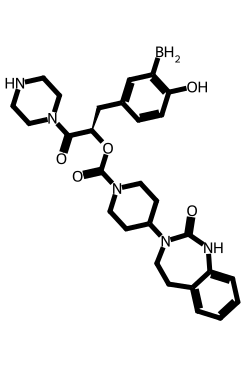 Bc1cc(C[C@@H](OC(=O)N2CCC(N3CCc4ccccc4NC3=O)CC2)C(=O)N2CCNCC2)ccc1O